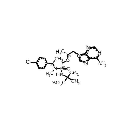 C[C@H](Cn1cnc2c(N)ncnc21)OC[P@](=O)(NC(C)(C)C(=O)O)N(C)[C@H](C)c1ccc(Cl)cc1